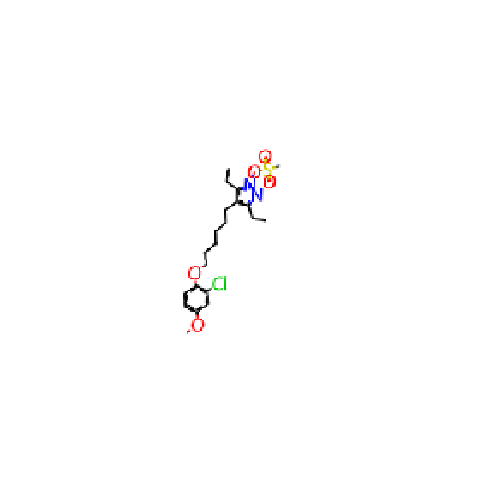 CCc1nn(OS(C)(=O)=O)c(CC)c1CCCCCCOc1ccc(OC)cc1Cl